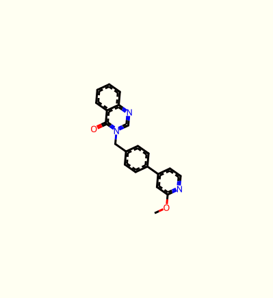 COc1cc(-c2ccc(Cn3cnc4ccccc4c3=O)cc2)ccn1